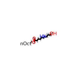 CCCCCCCCCOC(=O)CCCCCNCCCO